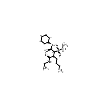 CCCCC(C(=O)NCC)C(C(=O)OC1CCCCC1)S(=O)(=O)NN